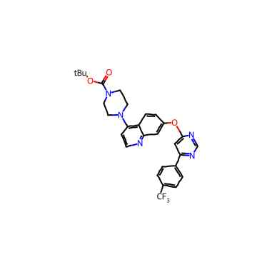 CC(C)(C)OC(=O)N1CCN(c2ccnc3cc(Oc4cc(-c5ccc(C(F)(F)F)cc5)ncn4)ccc23)CC1